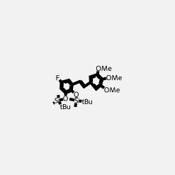 COc1cc(C=Cc2cc(F)cc(O[Si](C)(C)C(C)(C)C)c2O[Si](C)(C)C(C)(C)C)cc(OC)c1OC